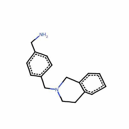 NCc1ccc(CN2CCc3ccccc3C2)cc1